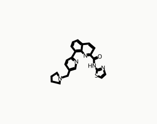 O=C(Nc1nccs1)c1ccc2cccc(-c3ccc(CN4CCCC4)cn3)c2n1